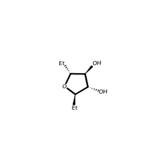 CC[C@H]1O[C@H](CC)[C@@H](O)[C@@H]1O